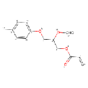 C=CC(=O)OCC(COc1ccc(C)cc1)OC=O